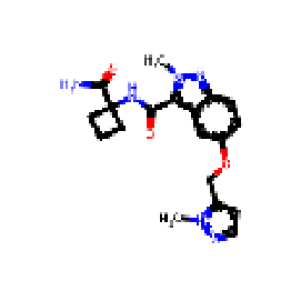 Cn1nccc1COc1ccc2nn(C)c(C(=O)NC3(C(N)=O)CCC3)c2c1